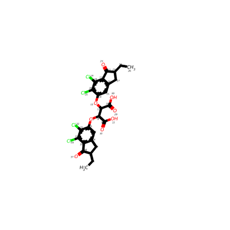 CCC1Cc2cc(OC(C(=O)O)C(Oc3cc4c(c(Cl)c3Cl)C(=O)C(CC)C4)C(=O)O)c(Cl)c(Cl)c2C1=O